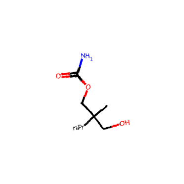 CCCC(C)(CO)COC(N)=O